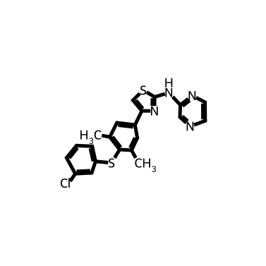 Cc1cc(-c2csc(Nc3cnccn3)n2)cc(C)c1Sc1cccc(Cl)c1